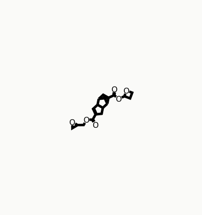 O=C(OCC1CO1)C1=CC2C3C=C(C(=O)OC4CCO4)C(C3)C2C1